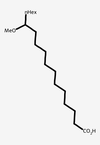 CCCCCCC(CCCCCCCCCCC(=O)O)OC